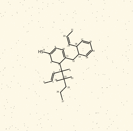 CC=CC(C)(C1CC(S)=CC=C1CC1C=CC=CC1/C=C\C)C(C)(C)CCC